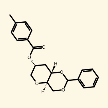 Cc1ccc(C(=O)O[C@H]2CO[C@@H]3COC(c4ccccc4)O[C@H]3C2)cc1